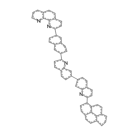 c1cnc2c(c1)ccc1ccc(-c3ccc4cc(-c5ccc6ccc(-c7ccc8ccc(-c9ccc%10ccc%11cccc%12ccc9c%10c%11%12)nc8c7)cc6n5)ccc4c3)nc12